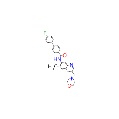 Cc1cc2cc(CN3CCOCC3)cnc2cc1NC(=O)c1ccc(-c2ccc(F)cc2)cc1